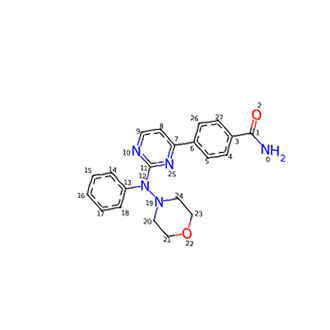 NC(=O)c1ccc(-c2ccnc(N(c3ccccc3)N3CCOCC3)n2)cc1